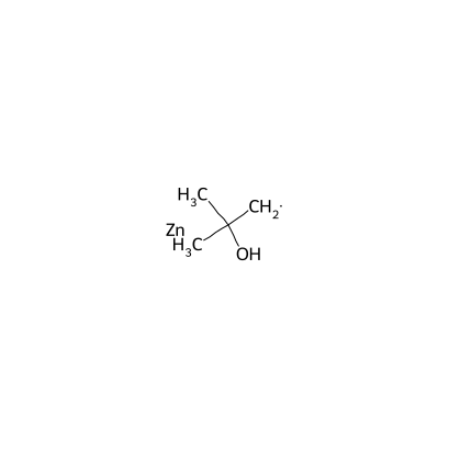 [CH2]C(C)(C)O.[Zn]